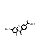 COC(=O)c1ccc(C(=O)c2c(O)cc(OC)cc2F)cc1